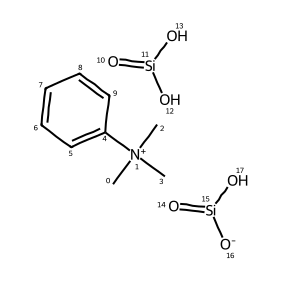 C[N+](C)(C)c1ccccc1.O=[Si](O)O.O=[Si]([O-])O